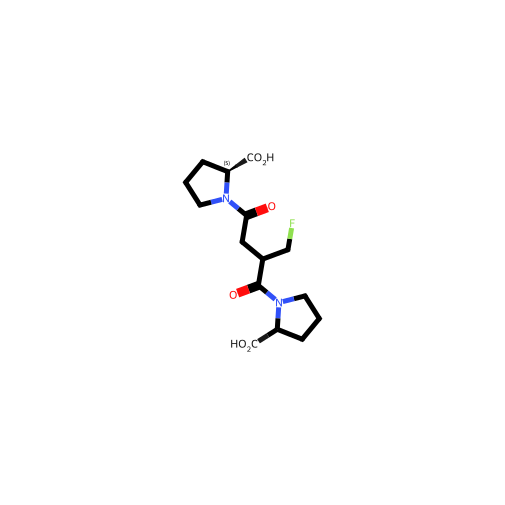 O=C(O)C1CCCN1C(=O)C(CF)CC(=O)N1CCC[C@H]1C(=O)O